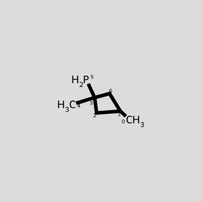 CC1CC(C)(P)C1